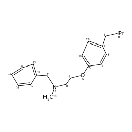 CC(C)Cc1ccc(OCCN(C)Cc2ccccc2)cc1